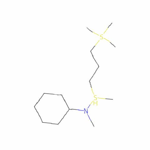 CN(C1CCCCC1)[SH](C)CCCS(C)(C)C